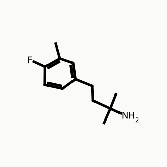 Cc1cc(CCC(C)(C)N)ccc1F